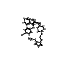 CCn1nnnc1SCCN1CCC(Nc2nc3ccccc3n2Cc2ccc(F)cc2)CC1